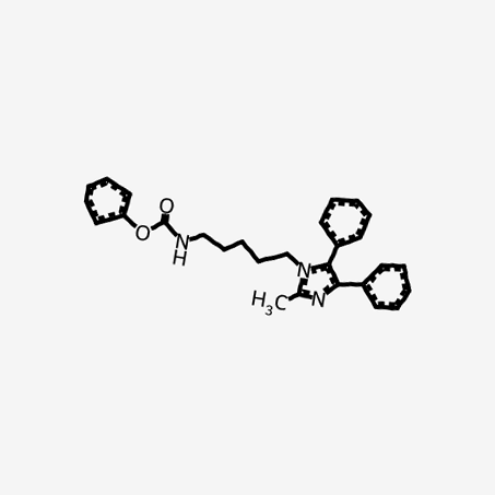 Cc1nc(-c2ccccc2)c(-c2ccccc2)n1CCCCCNC(=O)Oc1ccccc1